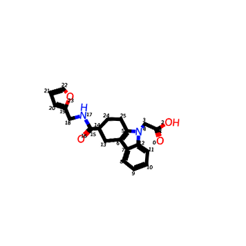 O=C(O)Cn1c2c(c3ccccc31)CC(C(=O)NCc1ccco1)CC2